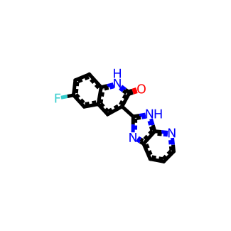 O=c1[nH]c2ccc(F)cc2cc1-c1nc2cccnc2[nH]1